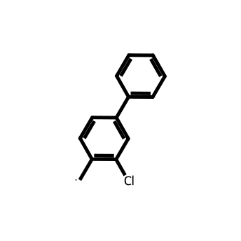 [CH2]c1ccc(-c2ccccc2)cc1Cl